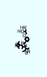 CNCC(O)COc1cccc(-c2nc(-c3c(C)noc3C)c(C)c(-c3c(C)noc3C)n2)c1